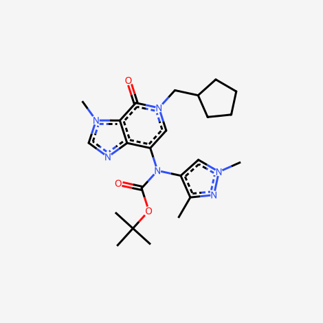 Cc1nn(C)cc1N(C(=O)OC(C)(C)C)c1cn(CC2CCCC2)c(=O)c2c1ncn2C